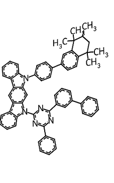 CC1CC(C)(C)c2ccc(-c3ccc(-n4c5ccccc5c5cc6c7ccccc7n(-c7nc(-c8ccccc8)nc(-c8cccc(-c9ccccc9)c8)n7)c6cc54)cc3)cc2C1(C)C